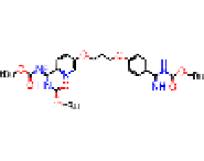 CC(C)(C)OC(=O)/N=C(\NC(=O)OC(C)(C)C)c1ccc(OCCCOc2ccc(C(=N)NC(=O)OC(C)(C)C)cc2)cn1